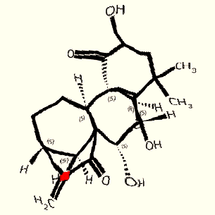 C=C1C(=O)C23[C@@H](CC[C@@H]1[C@@H]2O)[C@@]12CO[C@]3(O)[C@@H](O)[C@@H]1C(C)(C)CC(O)C2=O